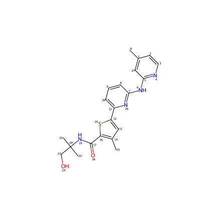 Cc1ccnc(Nc2cccc(-c3cc(C)c(C(=O)NC(C)(C)CO)s3)n2)c1